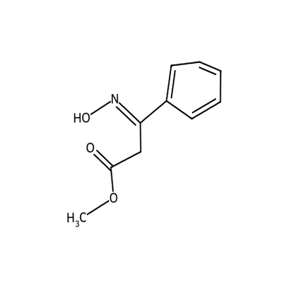 COC(=O)C/C(=N\O)c1ccccc1